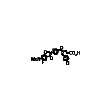 CNc1cc2c(cc1F)C(=O)N(c1ccc(C(=O)N(CCC(=O)O)Cc3ccc(Cl)s3)cc1)CO2